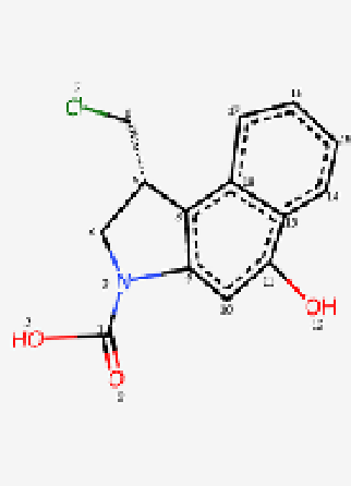 O=C(O)N1C[C@H](CCl)c2c1cc(O)c1ccccc21